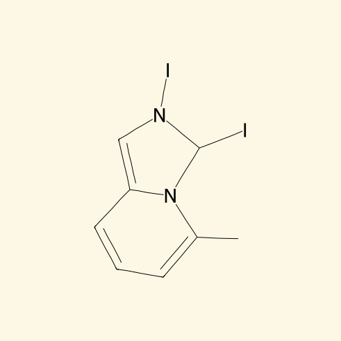 CC1=CC=CC2=CN(I)C(I)N12